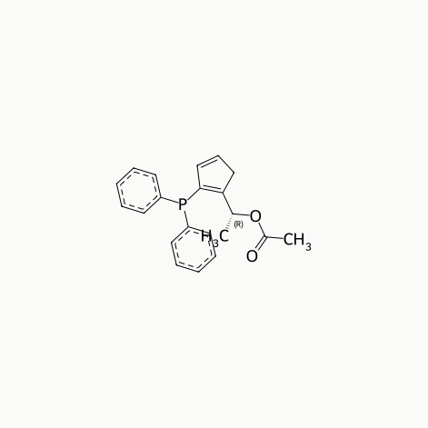 CC(=O)O[C@H](C)C1=C(P(c2ccccc2)c2ccccc2)C=CC1